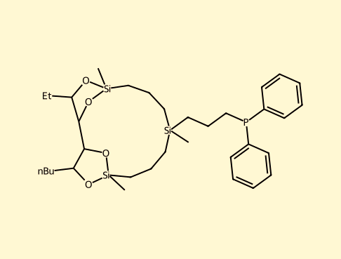 CCCCC1O[Si]2(C)CCC[Si](C)(CCCP(c3ccccc3)c3ccccc3)CCC[Si]3(C)OC(CC)C(O3)C1O2